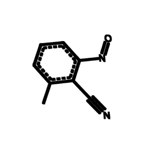 Cc1cccc(N=O)c1C#N